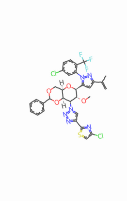 C=C(C)c1cc([C@@H]2O[C@@H]3COC(c4ccccc4)O[C@@H]3[C@H](n3cc(-c4nc(Cl)cs4)nn3)[C@H]2OC)n(-c2cc(Cl)ccc2C(F)(F)F)n1